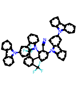 N#Cc1c(-n2c3ccccc3c3cc(-n4c5ccccc5c5ccccc54)ccc32)ccc(-c2c(C(F)(F)F)cccc2C(F)(F)F)c1-n1c2ccccc2c2cc(-n3c4ccccc4c4ccccc43)ccc21